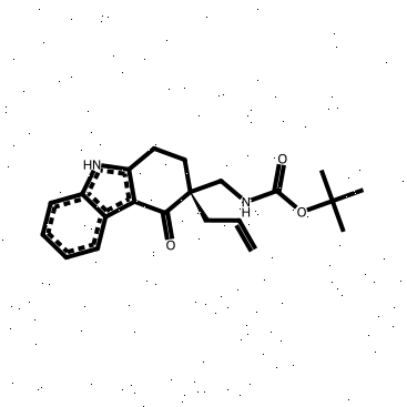 C=CC[C@]1(CNC(=O)OC(C)(C)C)CCc2[nH]c3ccccc3c2C1=O